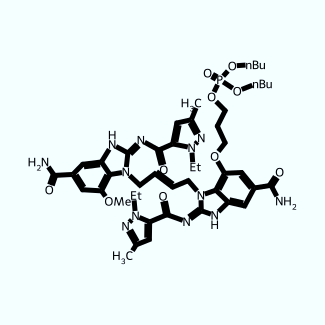 CCCCOP(=O)(OCCCC)OCCCOc1cc(C(N)=O)cc2[nH]/c(=N/C(=O)c3cc(C)nn3CC)n(C/C=C/Cn3/c(=N\C(=O)c4cc(C)nn4CC)[nH]c4cc(C(N)=O)cc(OC)c43)c12